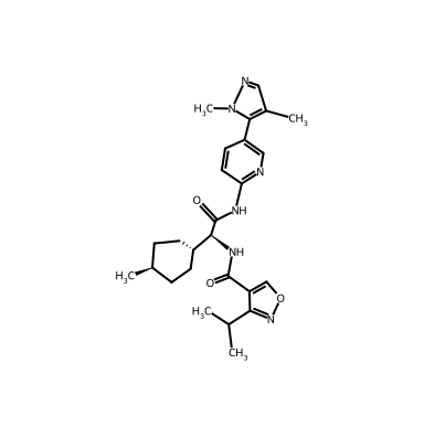 Cc1cnn(C)c1-c1ccc(NC(=O)[C@@H](NC(=O)c2conc2C(C)C)[C@H]2CC[C@H](C)CC2)nc1